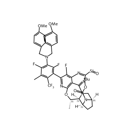 COc1ccc(CN(Cc2ccc(OC)cc2)c2c(F)c(C)c(C(F)(F)F)c(-c3nc4c5c(nc([S+]=O)nc5c3F)N3C[C@H]5CC[C@@H]([C@H]3[C@H](C)O4)N5C(=O)OC(C)(C)C)c2F)cc1